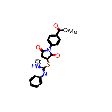 CCN/C(=N\c1ccccc1)SC1CC(=O)N(c2ccc(C(=O)OC)cc2)C1=O